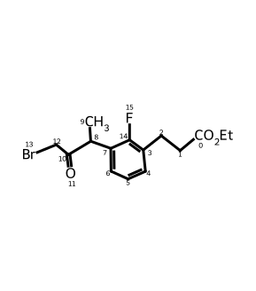 CCOC(=O)CCc1cccc(C(C)C(=O)CBr)c1F